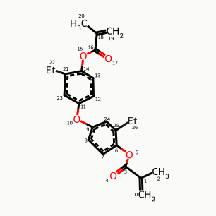 C=C(C)C(=O)Oc1ccc(Oc2ccc(OC(=O)C(=C)C)c(CC)c2)cc1CC